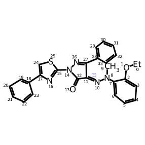 CCOc1ccccc1N(C)/N=C1/C(=O)N(c2nc(-c3ccccc3)cs2)N=C1c1ccccc1